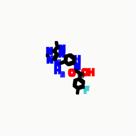 Cc1ccc([C@@H](O)C(=O)Nc2ccc(-n3nc(C)c4ncnc(N)c43)c(C)c2)cc1F